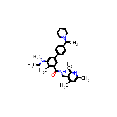 C=C1NC(C)=CC(C)=C1CNC(=O)c1cc(-c2ccc(C(=C)N3CCCCC3)cc2)cc(N(C)CC)c1C